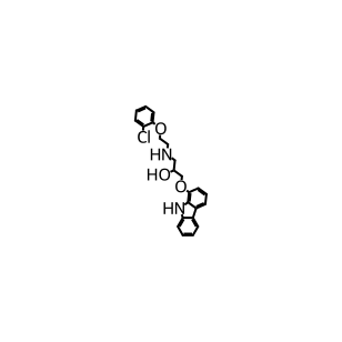 OC(CNCCOc1ccccc1Cl)COc1cccc2c1[nH]c1ccccc12